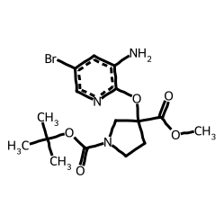 COC(=O)C1(Oc2ncc(Br)cc2N)CCN(C(=O)OC(C)(C)C)C1